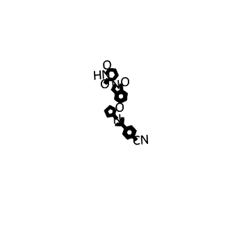 N#Cc1ccc(C2CN(C3CCCC3Oc3ccc4c(c3)CN(C3CCC(=O)NC3=O)C4=O)C2)cc1